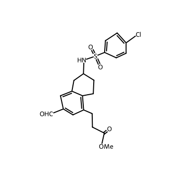 COC(=O)CCc1cc(C=O)cc2c1CCC(NS(=O)(=O)c1ccc(Cl)cc1)C2